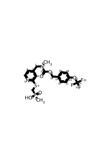 CN(Cc1ccnc(SCP(C)(=O)O)c1)C(=O)OCc1ccc(OC(F)(F)F)cc1